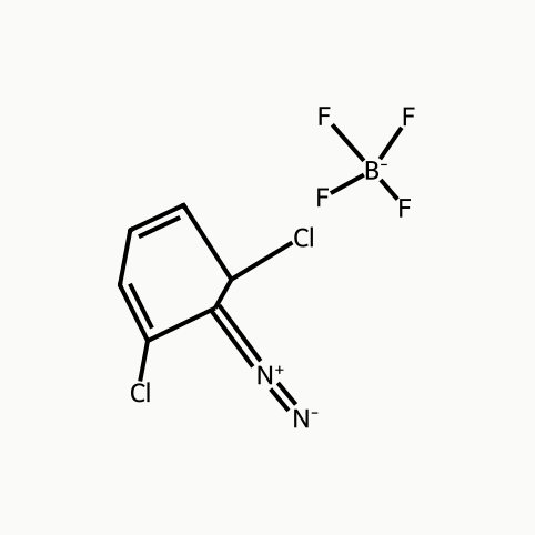 F[B-](F)(F)F.[N-]=[N+]=C1C(Cl)=CC=CC1Cl